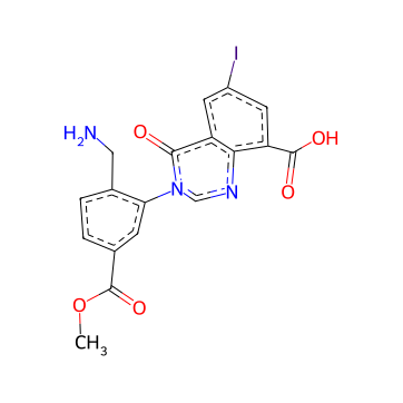 COC(=O)c1ccc(CN)c(-n2cnc3c(C(=O)O)cc(I)cc3c2=O)c1